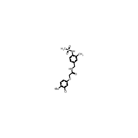 Cc1cc(CNC(=O)COc2ccc(C(C)(C)C)c(Cl)c2)ccc1NS(C)(=O)=O